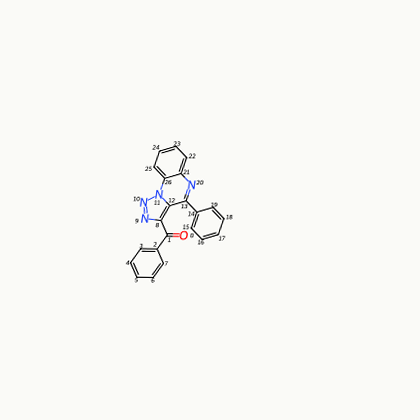 O=C(c1ccccc1)c1nnn2c1c(-c1ccccc1)nc1ccccc12